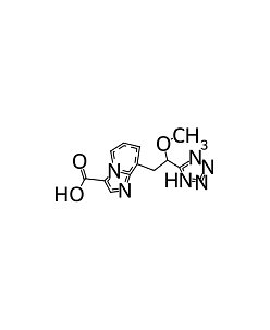 COC(Cc1cccn2c(C(=O)O)cnc12)c1nnn[nH]1